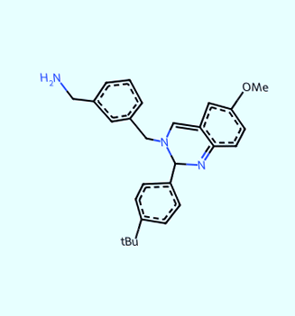 COc1ccc2c(c1)=CN(Cc1cccc(CN)c1)C(c1ccc(C(C)(C)C)cc1)N=2